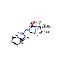 CC[C@H](C)[C@](C(=O)O)(N1CCN(Cc2nc3ccccc3n2C)C1=O)C(C)(C)C